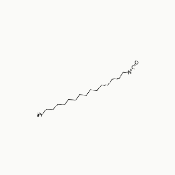 CC(C)CCCCCCCCCCCCCCCN=C=O